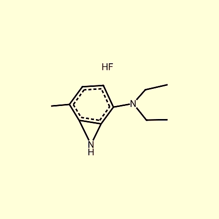 CCN(CC)c1ccc(C)c2c1N2.F